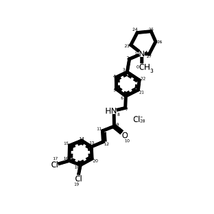 C[N+]1(Cc2ccc(CNC(=O)C=Cc3ccc(Cl)c(Cl)c3)cc2)CCCCC1.[Cl-]